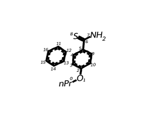 CCCOc1ccc(C(N)=S)cc1.c1ccccc1